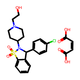 O=C(O)/C=C\C(=O)O.O=S1(=O)c2ccccc2C(c2ccc(Cl)cc2)N1C1CCN(CCO)CC1